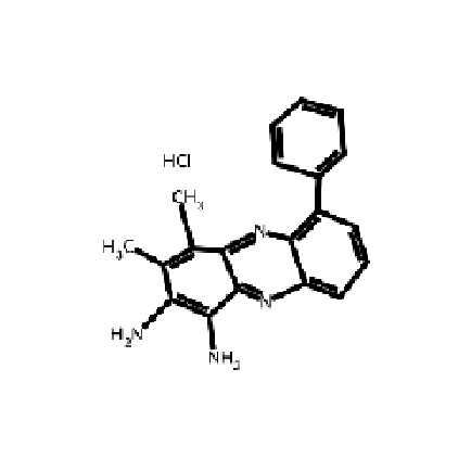 Cc1c(N)c(N)c2nc3cccc(-c4ccccc4)c3nc2c1C.Cl